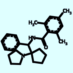 Cc1cc(C)c(C(=O)NC(c2ccccc2)C2(N3CCCC3)CCCC2)c(C)c1